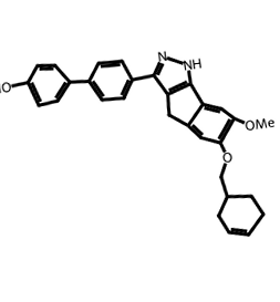 COc1cc2c(cc1OCC1CC=CCC1)Cc1c(-c3ccc(-c4ccc(O)cc4)cc3)n[nH]c1-2